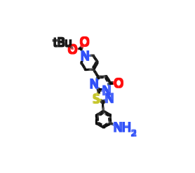 CC(C)(C)OC(=O)N1CC=C(c2cc(=O)n3nc(-c4cccc(N)c4)sc3n2)CC1